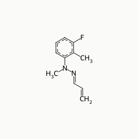 C=C/C=N/N(C)c1cccc(F)c1C